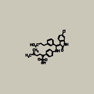 CCCS(=O)(=O)N(CCN(C)C)c1ccc(N/C(=C2\C(=O)Nc3cc(Cl)ccc32)c2cccc(CCC(=O)O)c2)cc1